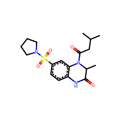 CC(C)CC(=O)N1c2cc(S(=O)(=O)N3CCCC3)ccc2NC(=O)C1C